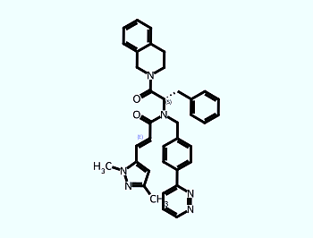 Cc1cc(/C=C/C(=O)N(Cc2ccc(-c3cccnn3)cc2)[C@@H](Cc2ccccc2)C(=O)N2CCc3ccccc3C2)n(C)n1